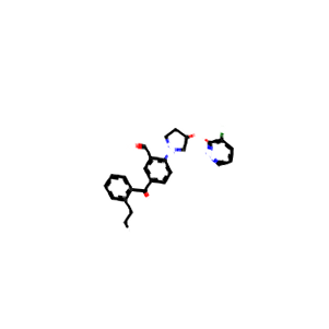 CCCc1ccccc1C(=O)c1ccc(N2CCC(Oc3ncccc3F)C2)c(C=O)c1